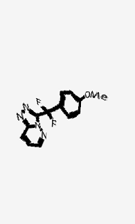 COc1ccc(C(F)(F)c2nnc3cccnn23)cc1